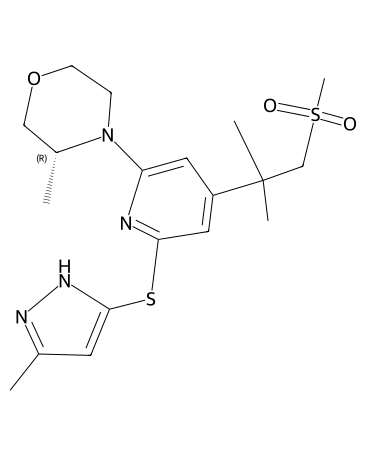 Cc1cc(Sc2cc(C(C)(C)CS(C)(=O)=O)cc(N3CCOC[C@H]3C)n2)[nH]n1